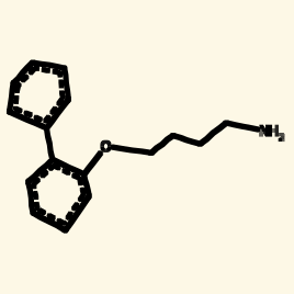 NCCCCOc1ccccc1-c1ccccc1